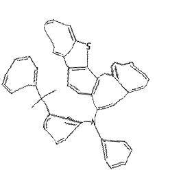 CC(C)(c1ccccc1)c1cccc(N(c2ccccc2)c2cc3ccccc3c3c2ccc2c4ccccc4sc23)c1